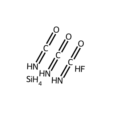 F.N=C=O.N=C=O.N=C=O.[SiH4]